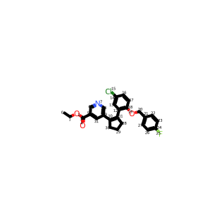 CCOC(=O)c1cncc(C2=C(c3cc(Cl)ccc3OCc3ccc(F)cc3)CCC2)c1